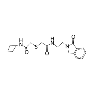 O=C(CSCC(=O)NC1CCC1)NCCN1Cc2ccccc2C1=O